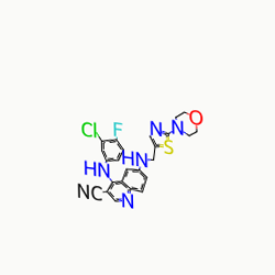 N#Cc1cnc2ccc(NCc3cnc(N4CCOCC4)s3)cc2c1Nc1ccc(F)c(Cl)c1